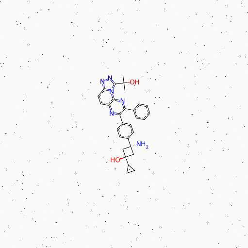 CC(C)(O)c1nnc2ccc3nc(-c4ccc([C@]5(N)C[C@@](O)(C6CC6)C5)cc4)c(-c4ccccc4)nc3n12